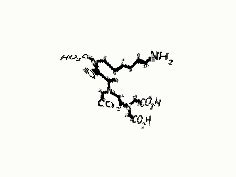 CC(C(=O)N(CCCCCCN)C(=O)O)N(CCN(CC(=O)O)CC(=O)O)CC(=O)O